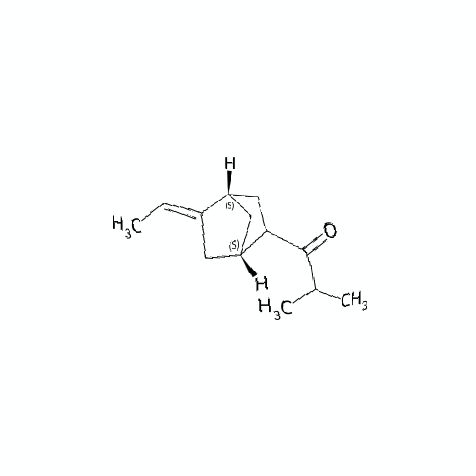 CC=C1C[C@@H]2C[C@H]1CC2C(=O)C(C)C